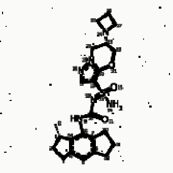 C[C@H]1CCc2cc3c(c(NC(=O)N=[S@@](N)(=O)c4cnn5c4OC[C@@H](N4CCC4)C5)c21)CCC3